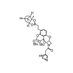 CC(C)(C)OC(=O)Oc1c(CCB2O[C@@H]3C[C@@H]4C[C@@H](C4(C)C)[C@]3(C)O2)ccc(OC2CN(C(=O)Cc3cnc[nH]3)C2)c1C(=O)OC(C)(C)C